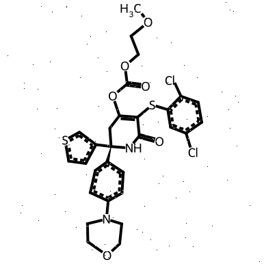 COCCOC(=O)OC1=C(Sc2cc(Cl)ccc2Cl)C(=O)N[C@](c2ccc(N3CCOCC3)cc2)(c2ccsc2)C1